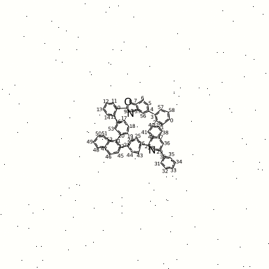 c1ccc(-c2ccc3oc(-c4ccccc4-c4cccc(-c5c(-c6ccc(-c7nc(-c8ccccc8)cc8ccccc78)cc6)ccc6ccccc56)c4)nc3c2)cc1